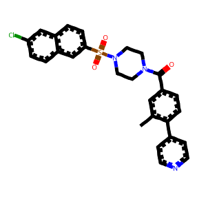 Cc1cc(C(=O)N2CCN(S(=O)(=O)c3ccc4cc(Cl)ccc4c3)CC2)ccc1-c1ccncc1